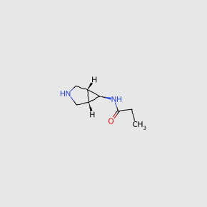 CCC(=O)N[C@H]1[C@@H]2CNC[C@@H]21